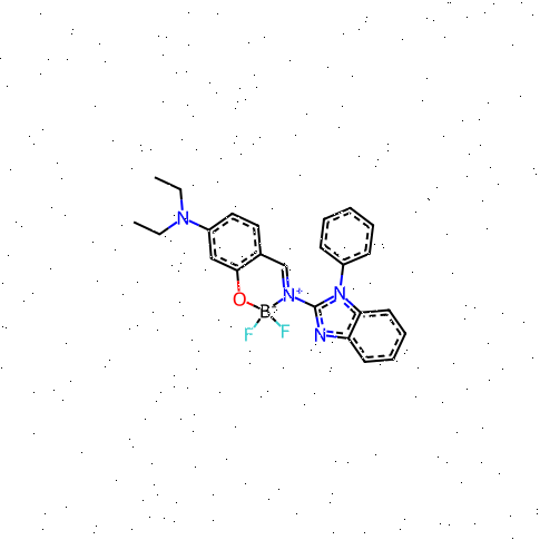 CCN(CC)c1ccc2c(c1)O[B-](F)(F)[N+](c1nc3ccccc3n1-c1ccccc1)=C2